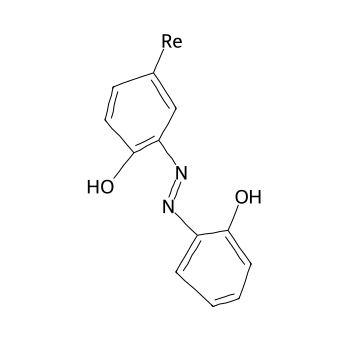 Oc1ccccc1N=Nc1c[c]([Re])ccc1O